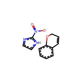 C1=Cc2ccccc2OC1.O=[N+]([O-])c1ncc[nH]1